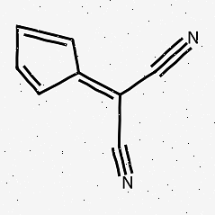 N#CC(C#N)=C1C=CC=C1